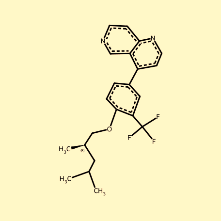 CC(C)C[C@@H](C)COc1ccc(-c2ccnc3ccncc23)cc1C(F)(F)F